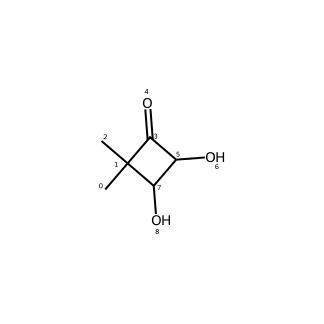 CC1(C)C(=O)C(O)C1O